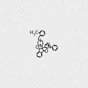 Cc1ccccc1CN1CCN(C2(c3cnn(-c4ccccc4)c3)C(=O)c3ccccc3C2=O)CC1